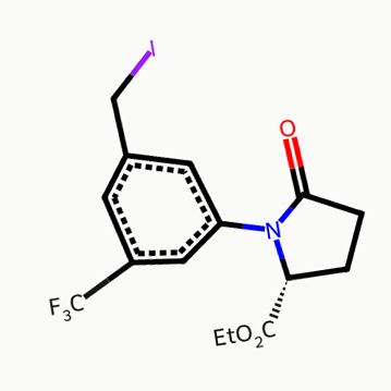 CCOC(=O)[C@H]1CCC(=O)N1c1cc(CI)cc(C(F)(F)F)c1